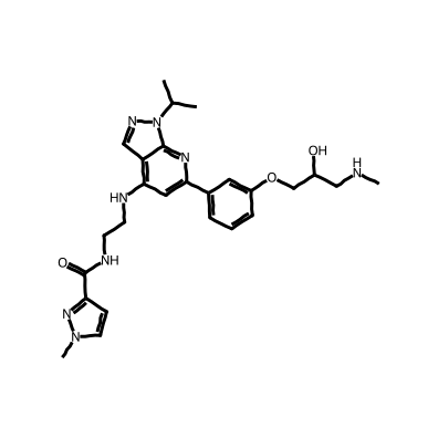 CNCC(O)COc1cccc(-c2cc(NCCNC(=O)c3ccn(C)n3)c3cnn(C(C)C)c3n2)c1